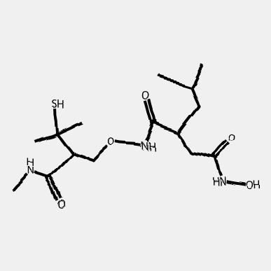 CNC(=O)C(CONC(=O)C(CC(=O)NO)CC(C)C)C(C)(C)S